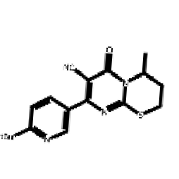 CC1CCSc2nc(-c3ccc(C(C)(C)C)nc3)c(C#N)c(=O)n21